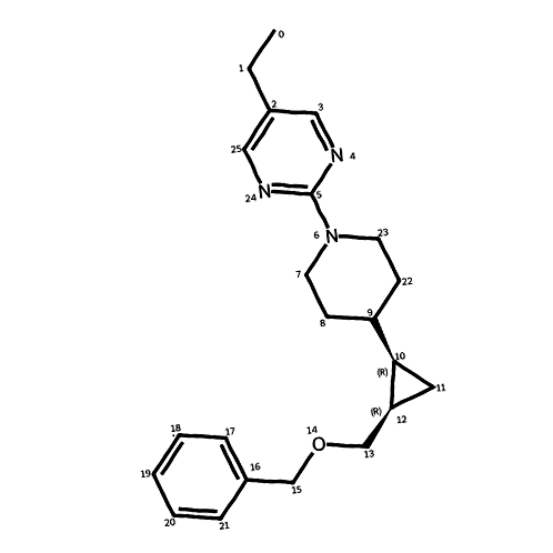 CCc1cnc(N2CCC([C@H]3C[C@H]3COCc3c[c]ccc3)CC2)nc1